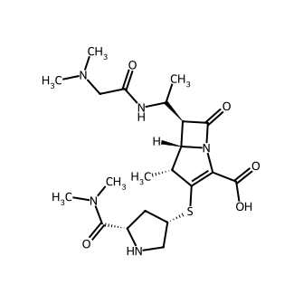 CC(NC(=O)CN(C)C)[C@H]1C(=O)N2C(C(=O)O)=C(S[C@@H]3CN[C@H](C(=O)N(C)C)C3)[C@H](C)[C@H]12